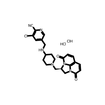 Cl.Cl.N#Cc1ncc(CNC2CCN(C[C@@H]3Cn4c(=O)ccc5ccc(=O)n3c54)CC2)cc1Cl